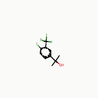 CC(C)(O)c1ccc(F)c(C(F)(F)F)c1